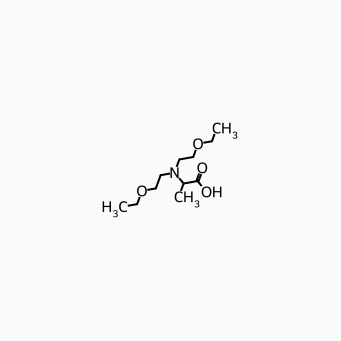 CCOCCN(CCOCC)C(C)C(=O)O